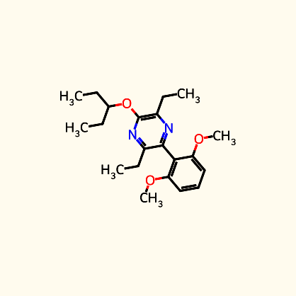 CCc1nc(-c2c(OC)cccc2OC)c(CC)nc1OC(CC)CC